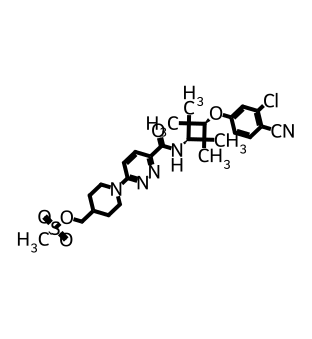 CC1(C)[C@H](NC(=O)c2ccc(N3CCC(COS(C)(=O)=O)CC3)nn2)C(C)(C)[C@H]1Oc1ccc(C#N)c(Cl)c1